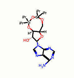 CC(C)[Si]1(C(C)C)OC[C@@H]2O[C@@H](n3cnc4c(N)ncnc43)[C@H](O)[C@H]2O[Si](C(C)C)(C(C)C)O1